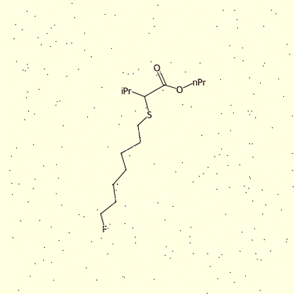 CCCOC(=O)C(SCCCCCCCF)C(C)C